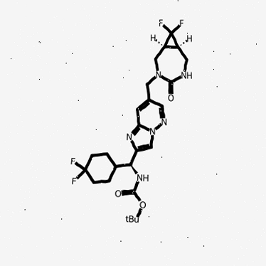 CC(C)(C)OC(=O)N[C@H](c1cn2ncc(CN3C[C@@H]4[C@H](CNC3=O)C4(F)F)cc2n1)C1CCC(F)(F)CC1